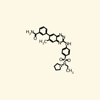 CCN(N1CCCC1)S(=O)(=O)c1ccc(Nc2nnc3cc(-c4cccc(C(N)=O)c4)c(C)cc3n2)cc1